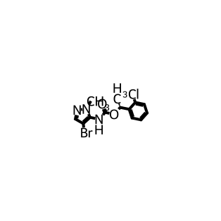 C[C@@H](OC(=O)Nc1c(Br)cnn1C)c1ccccc1Cl